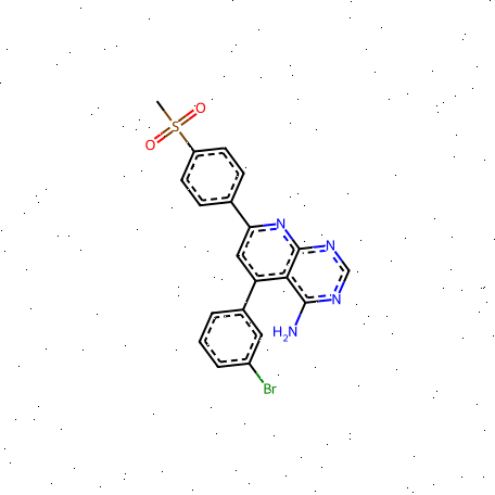 CS(=O)(=O)c1ccc(-c2cc(-c3cccc(Br)c3)c3c(N)ncnc3n2)cc1